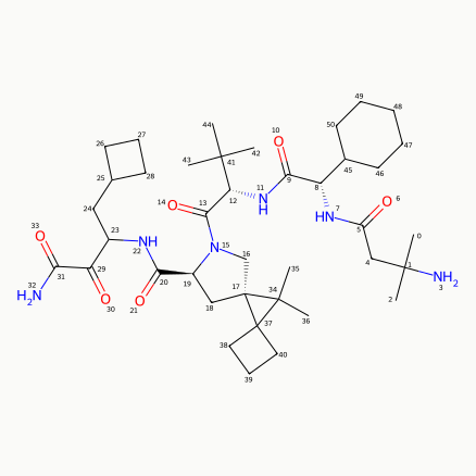 CC(C)(N)CC(=O)N[C@H](C(=O)N[C@H](C(=O)N1C[C@]2(C[C@H]1C(=O)NC(CC1CCC1)C(=O)C(N)=O)C(C)(C)C21CCC1)C(C)(C)C)C1CCCCC1